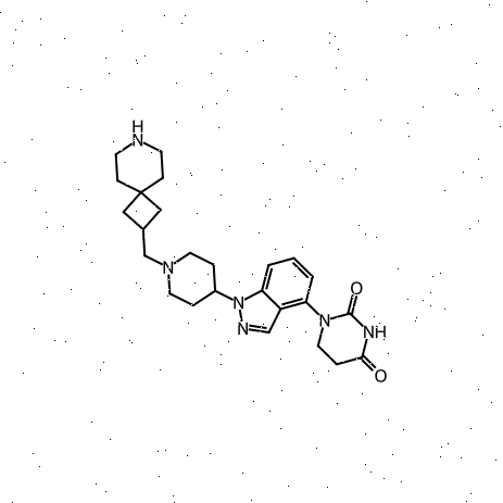 O=C1CCN(c2cccc3c2cnn3C2CCN(CC3CC4(CCNCC4)C3)CC2)C(=O)N1